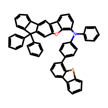 c1ccc(N(c2ccc(-c3cccc4c3sc3ccccc34)cc2)c2cccc3c2oc2cc4c(cc23)-c2ccccc2C4(c2ccccc2)c2ccccc2)cc1